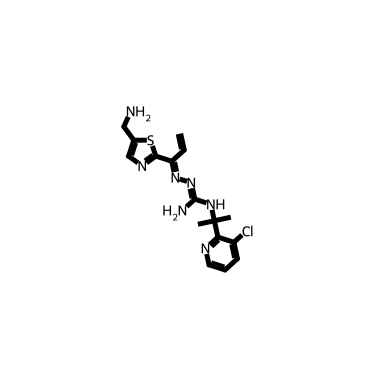 C=C/C(=N\N=C(/N)NC(C)(C)c1ncccc1Cl)c1ncc(CN)s1